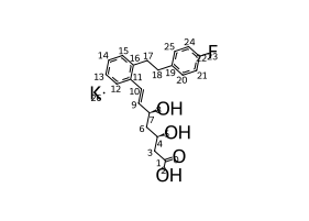 O=C(O)C[C@H](O)C[C@H](O)C=Cc1ccccc1CCc1ccc(F)cc1.[K]